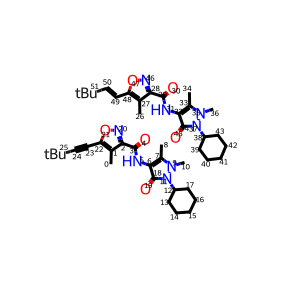 Cc1c(C(=O)Nc2c(C)n(C)n(C3CCCCC3)c2=O)noc1C#CC(C)(C)C.Cc1c(C(=O)Nc2c(C)n(C)n(C3CCCCC3)c2=O)noc1C=CC(C)(C)C